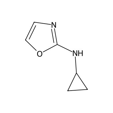 c1coc(NC2CC2)n1